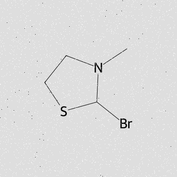 CN1CCSC1Br